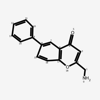 NCc1cc(=O)c2cc(-c3ccccc3)ccc2o1